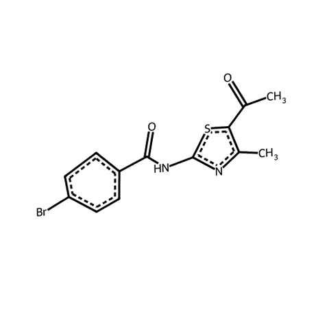 CC(=O)c1sc(NC(=O)c2ccc(Br)cc2)nc1C